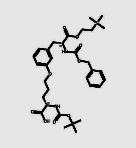 CC(C)(C)OC(=O)N[C@H](CCCOc1cccc(C[C@H](NC(=O)OCc2ccccc2)C(=O)OCC[Si](C)(C)C)c1)C(=O)O